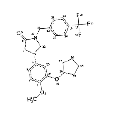 COc1ccc([C@@H]2CC(=O)N(Cc3ccc(C(F)(F)F)cc3)C2)cc1OC1CCCC1